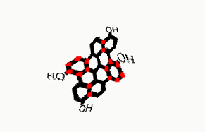 Oc1ccc(-c2ccccc2C(c2ccccc2-c2ccc(O)cc2)C(c2ccccc2-c2ccc(O)cc2)c2ccccc2-c2ccc(O)cc2)cc1